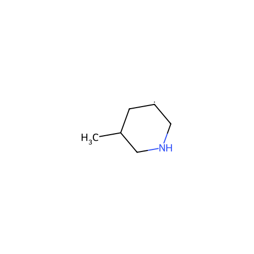 CC1C[CH]CNC1